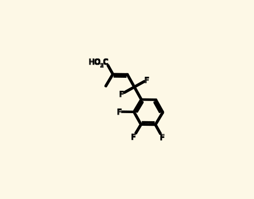 CC(=CC(F)(F)c1ccc(F)c(F)c1F)C(=O)O